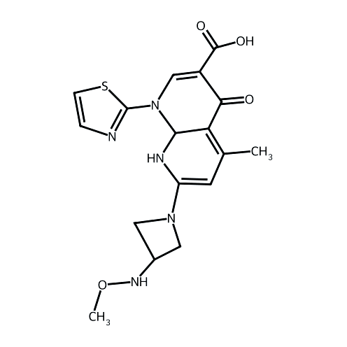 CONC1CN(C2=CC(C)=C3C(=O)C(C(=O)O)=CN(c4nccs4)C3N2)C1